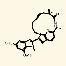 COc1cc(C=O)cc2nc(-c3cc4ccc5nc4n3CCC/C=C/C[C@@](C)(C(F)(F)F)C(=O)N[C@@H]5C)n(C)c12